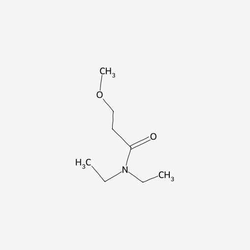 CCN(CC)C(=O)CCOC